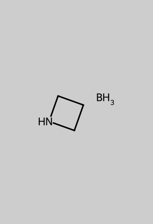 B.C1CNC1